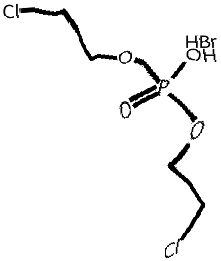 Br.O=P(O)(OCCCl)OCCCl